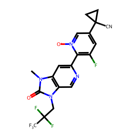 Cn1c(=O)n(CC(F)(F)C(F)(F)F)c2cnc(-c3c(F)cc(C4(C#N)CC4)c[n+]3[O-])cc21